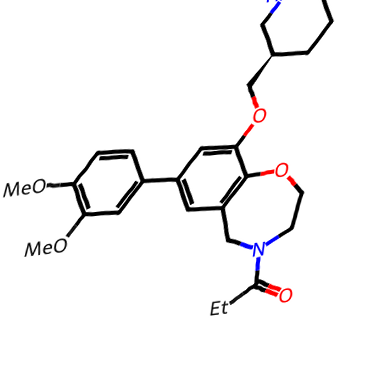 CCC(=O)N1CCOc2c(cc(-c3ccc(OC)c(OC)c3)cc2OC[C@@H]2CCCNC2)C1